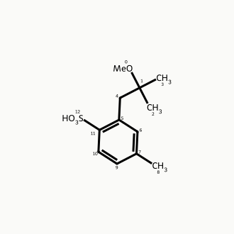 COC(C)(C)Cc1cc(C)ccc1S(=O)(=O)O